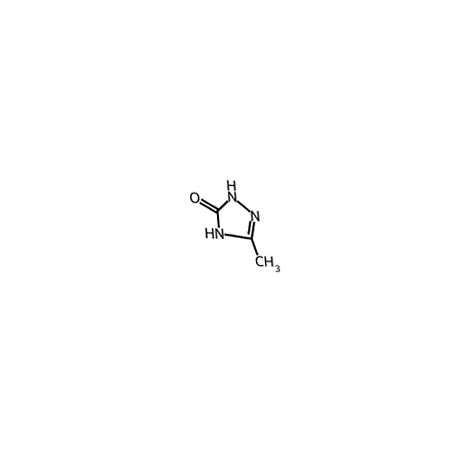 Cc1n[nH]c(=O)[nH]1